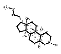 CONC[C@H]1CC[C@]2(O)[C@@H]3CC[C@@H]4C[C@@H](O)CC[C@]4(C)[C@H]3CC[C@]12C